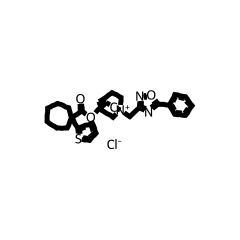 O=C(OC1C[N+]2(Cc3noc(-c4ccccc4)n3)CCC1CC2)C1(c2cccs2)CCCCCC1.[Cl-]